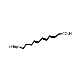 CCCCCCCCCC/C=C/C=C/C=C/CC(=O)O